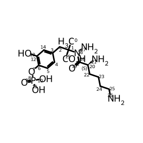 CC(Cc1ccc(OP(=O)(O)O)c(O)c1)(C(=O)O)N(N)C(=O)[C@@H](N)CCCCN